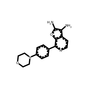 Nc1oc2c(-c3ccc(N4CCOCC4)cc3)nccc2c1N